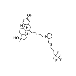 C[C@]1(O)CC[C@H]2[C@@H]3[C@H](CCCCCN4CCC[C@H]4CSCCCC(F)(F)C(F)(F)F)Cc4cc(O)ccc4[C@H]3CC[C@@]21C